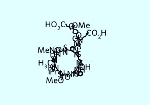 CNC(=O)C[C@@H]1NC(=O)c2csc(n2)-c2ccc(-c3nc(N(CCCCC(=O)O)C(=O)O[C@H]4CC[C@](CCCCC(=O)O)(C(=O)OC)CC4)cs3)nc2-c2csc(n2)-c2csc(n2)[C@H]([C@@H](O)c2ccccc2)NC(=O)CNC(=O)c2nc(sc2COC)C(C(C)C)NC(=O)c2nc1sc2C